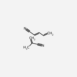 C=C(C)C#N.C=CC=CC#N